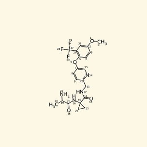 COc1ccc(Oc2ccc(CNC(=O)C3(NC(=O)C(C)N)CC3)nc2)c(C(F)(F)F)c1